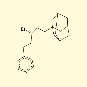 CCC(C[CH]c1ccncc1)CCC12CC3CC(CC(C3)C1)C2